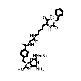 CCCCNc1nc(N)c2nc(O)n(Cc3ccc(C(=O)NCC(=O)NCCCCC(NC(=O)OCc4ccccc4)C(N)=O)cc3)c2n1